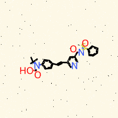 CC(C)(C)N(C(=O)O)c1ccc(C#Cc2cncc(C(=O)N=[S@@](C)(=O)c3ccccc3)c2)cc1